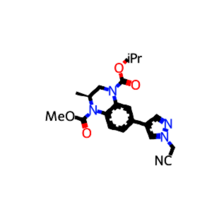 COC(=O)N1c2ccc(-c3cnn(CC#N)c3)cc2N(C(=O)OC(C)C)C[C@@H]1C